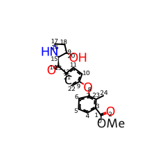 COC(=O)c1cccc(Oc2ccc(C(=O)[C@H]3NCCC3O)cc2)c1C